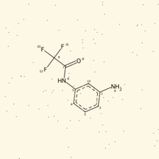 Nc1cccc(NC(=O)C(F)(F)F)c1